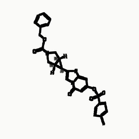 Cc1ccc(S(=O)(=O)Oc2cc(=O)n3cc([C@H]4[C@@H]5CN(C(=O)OCc6ccccc6)C[C@@H]54)sc3c2)cc1